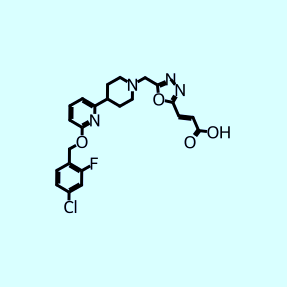 O=C(O)/C=C/c1nnc(CN2CCC(c3cccc(OCc4ccc(Cl)cc4F)n3)CC2)o1